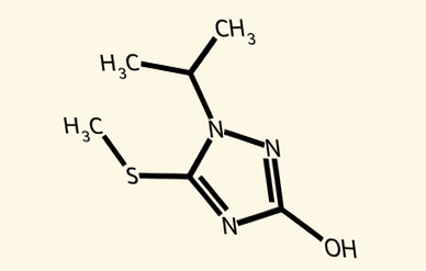 CSc1nc(O)nn1C(C)C